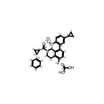 COc1ccc(C2CC2)cc1-c1ccc(F)c2c1CN(C(=O)[C@@H]1C[C@H]1c1ccccc1)CC2.O=C(O)O